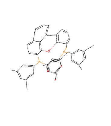 Cc1cc(C)cc(P(c2cc(C)cc(C)c2)c2cccc3c2Oc2c(P(c4cc(C)cc(C)c4)c4cc(C)cc(C)c4)ccc4cccc-3c24)c1